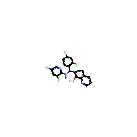 Oc1c(C(Nc2ncc(F)cc2F)c2ccc(F)cc2Cl)ccc2cccnc12